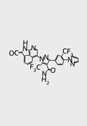 NC(=O)c1c(-c2ccc(-n3cccn3)c(C(F)(F)F)c2)nn(-c2cnc3[nH]c(=C=O)c4cccc2c34)c1C(F)(F)F